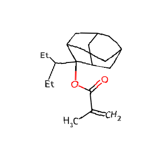 C=C(C)C(=O)OC1(C(CC)CC)C2CC3CC(C2)CC1C3